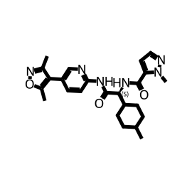 Cc1noc(C)c1-c1ccc(NC(=O)[C@@H](NC(=O)c2ccnn2C)C2CCC(C)CC2)nc1